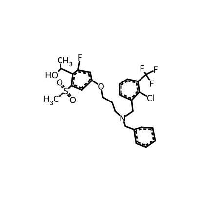 CC(O)c1c(F)cc(OCCCN(Cc2ccccc2)Cc2cccc(C(F)(F)F)c2Cl)cc1S(C)(=O)=O